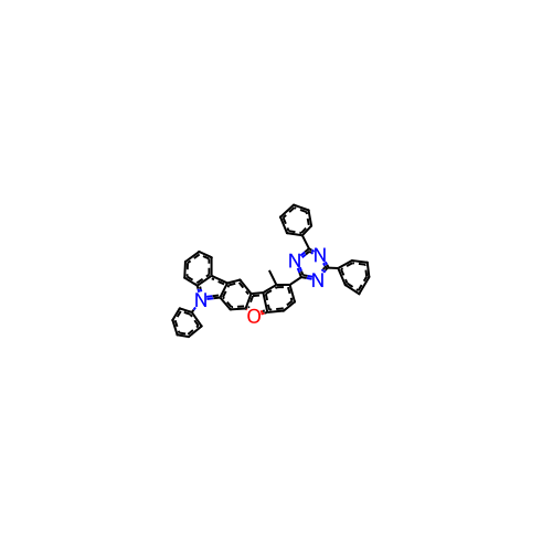 Cc1c(-c2nc(-c3ccccc3)nc(-c3ccccc3)n2)ccc2oc3cc4c(cc3c12)c1ccccc1n4-c1ccccc1